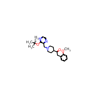 COc1ccccc1CC(=O)C1CCN(Cc2nccnc2OC(C)(C)C)CC1